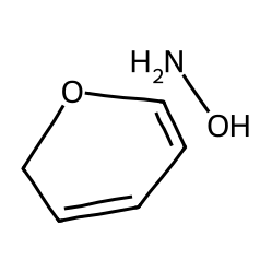 C1=CCOC=C1.NO